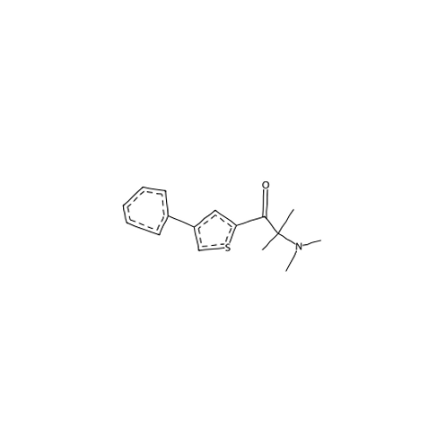 CN(C)C(C)(C)C(=O)c1cc(-c2ccccc2)cs1